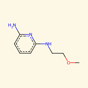 COCCNc1cccc(N)n1